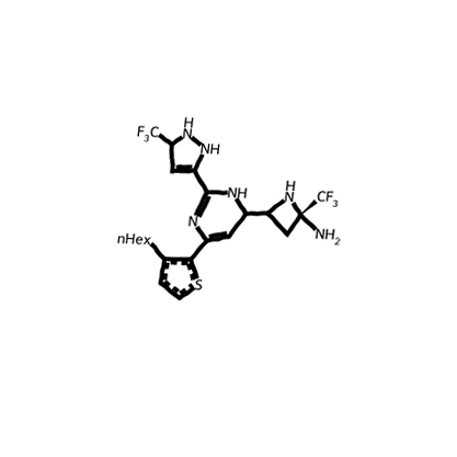 CCCCCCc1ccsc1C1=CC(C2C[C@](N)(C(F)(F)F)N2)NC(C2=CC(C(F)(F)F)NN2)=N1